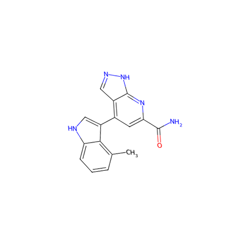 Cc1cccc2[nH]cc(-c3cc(C(N)=O)nc4[nH]ncc34)c12